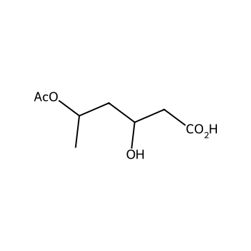 CC(=O)OC(C)CC(O)CC(=O)O